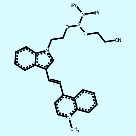 CC(C)N(C(C)C)P(OCCC#N)OCCn1cc(/C=C/c2cc[n+](C)c3ccccc23)c2ccccc21